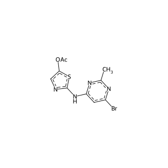 CC(=O)Oc1cnc(Nc2cc(Br)nc(C)n2)s1